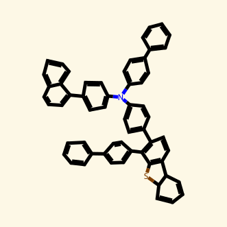 C1=CC2Sc3c(ccc(-c4ccc(N(c5ccc(-c6ccccc6)cc5)c5ccc(-c6cccc7ccccc67)cc5)cc4)c3-c3ccc(-c4ccccc4)cc3)C2C=C1